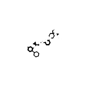 Cc1ccc(C2CCCCC2)c(OC2(C(=O)NS(=O)(=O)c3cccc(N4CCC(CF)(NC(=O)OC(C)(C)C)CC4)n3)CC2)c1